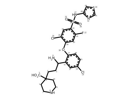 NC(CCC1(C(=O)O)CCNCC1)c1cc(Cl)ccc1Oc1cc(F)c(S(=O)(=O)Nc2cscn2)cc1Cl